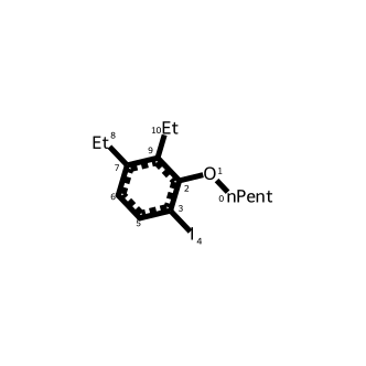 CCCCCOc1c(I)ccc(CC)c1CC